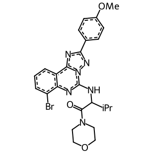 COc1ccc(-c2nc3c4cccc(Br)c4nc(NC(C(=O)N4CCOCC4)C(C)C)n3n2)cc1